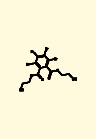 O=C(OCCO)c1c(Br)c(Br)c(Br)c(Br)c1C(=O)OCCO